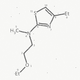 CCOCCN(C)c1nc(CC)cs1